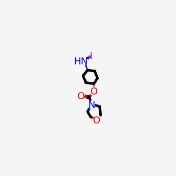 O=C(O[C@H]1CC[C@H](NI)CC1)N1CCOCC1